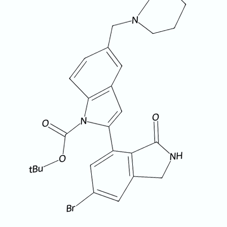 CC(C)(C)OC(=O)n1c(-c2cc(Br)cc3c2C(=O)NC3)cc2cc(CN3CCCCC3)ccc21